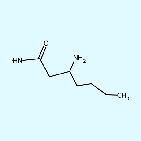 CCCCC(N)CC([NH])=O